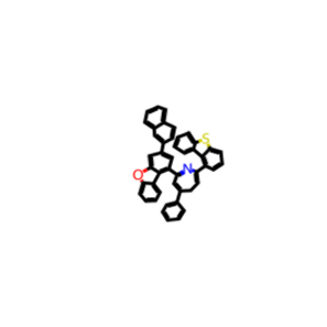 C1=C(c2ccccc2)CC=C(c2cccc3sc4ccccc4c23)N=C1c1cc(-c2ccc3ccccc3c2)cc2oc3ccccc3c12